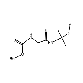 CC(=O)SC(C)(C)NC(=O)CNC(=O)OC(C)(C)C